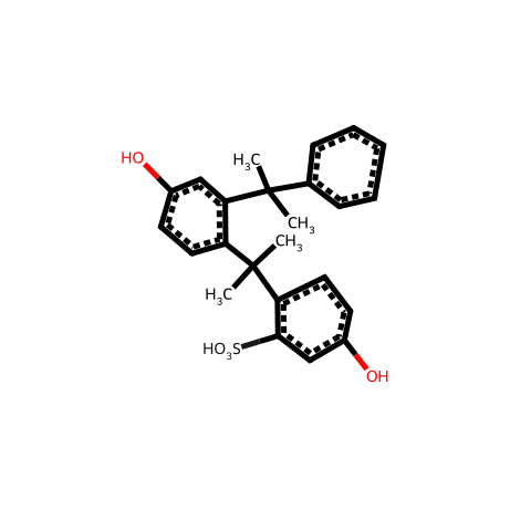 CC(C)(c1ccccc1)c1cc(O)ccc1C(C)(C)c1ccc(O)cc1S(=O)(=O)O